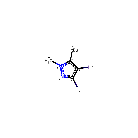 Cn1nc(I)c(I)c1C(C)(C)C